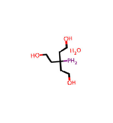 O.OCCC(P)(CCO)CCO